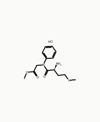 COC(=O)CN(C(=O)[C@@H](N)CCSC)c1ccccc1.Cl